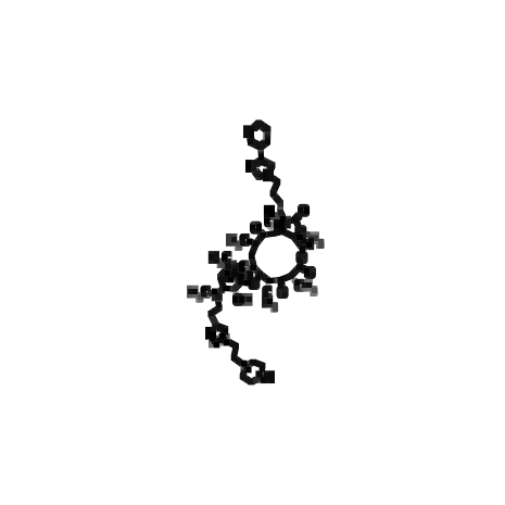 CO[C@]1(C)C[C@@H](C)C(=O)[C@H](C)[C@H]2N(CCCCn3cnc(-c4cccnc4)c3)C(=O)O[C@]2(C)[C@@H](I)OC(=O)[C@H](C)C(=O)[C@H](C)[C@H]1O[C@@H]1O[C@H](C)C[C@H](N(C)CCc2cn(CCN3CCNCC3)nn2)[C@H]1O